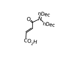 CCCCCCCCCCN(CCCCCCCCCC)C(=O)/C=C/C(=O)O